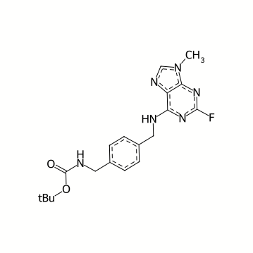 Cn1cnc2c(NCc3ccc(CNC(=O)OC(C)(C)C)cc3)nc(F)nc21